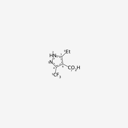 CCc1[nH]nc(C(F)(F)F)c1C(=O)O